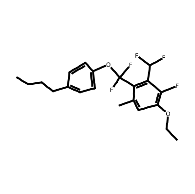 CCCCc1ccc(OC(F)(F)c2c(C)cc(OCC)c(F)c2C(F)F)cc1